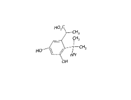 CCCC(C)(C)c1c(O)cc(O)cc1C(C)C(=O)O